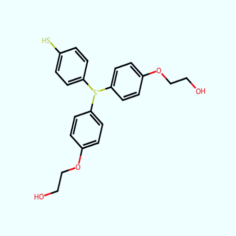 OCCOc1ccc([S+](c2ccc(S)cc2)c2ccc(OCCO)cc2)cc1